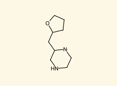 C1COC(CC2CNCC[N]2)C1